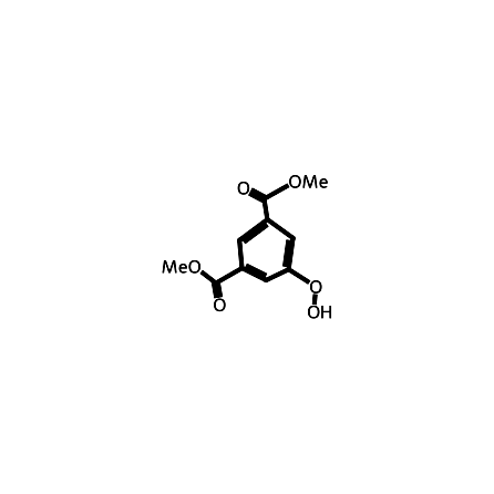 COC(=O)c1cc(OO)cc(C(=O)OC)c1